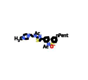 CCCCCc1ccc([S+]([O-])N(C(C)=O)c2cccc(-c3csc(N(CCN4CCN(C)CC4)C(C)=O)n3)c2)cc1